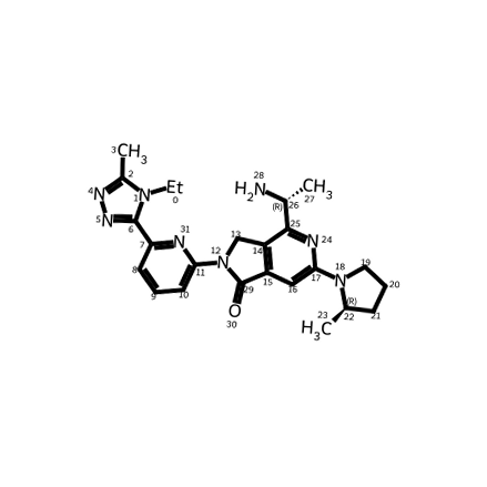 CCn1c(C)nnc1-c1cccc(N2Cc3c(cc(N4CCC[C@H]4C)nc3[C@@H](C)N)C2=O)n1